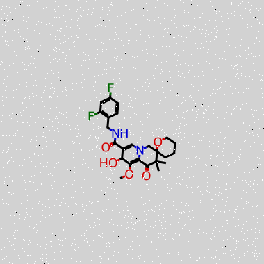 COC1=C2C(=O)C(C)(C)C3(CCCCO3)CN2C=C(C(=O)NCc2ccc(F)cc2F)C1O